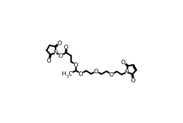 CC(OCCOCCOCCN1C(=O)C=CC1=O)OCCC(=O)ON1C(=O)CCC1=O